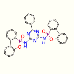 O=P1(Nc2nc(NP3(=O)Oc4ccccc4-c4ccccc43)nc(-c3ccccc3)n2)Oc2ccccc2-c2ccccc21